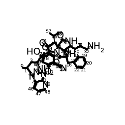 CC(C)C[C@H](N)C(O)CC(=O)N(C(=O)C(N)Cc1ccccc1)C(C(N)=O)(C(=O)CCCCN)[C@@H](C(=O)c1ccc(On2nnc3cccnc32)c(C#N)c1)C(C)C